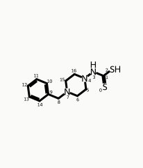 S=C(S)NN1CCN(Cc2ccccc2)CC1